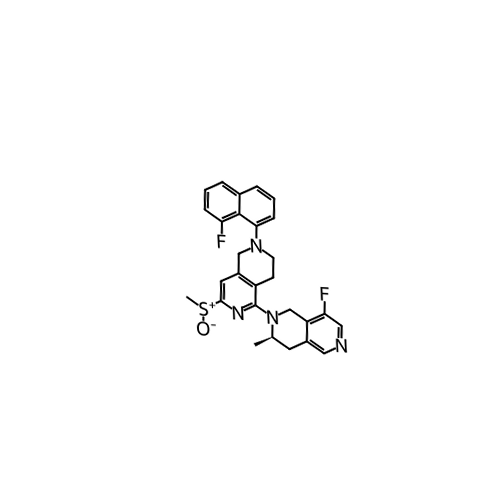 C[C@@H]1Cc2cncc(F)c2CN1c1nc([S+](C)[O-])cc2c1CCN(c1cccc3cccc(F)c13)C2